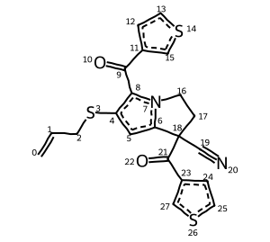 C=CCSc1cc2n(c1C(=O)c1ccsc1)CCC2(C#N)C(=O)c1ccsc1